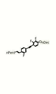 CCCCCC=Cc1ccc(C#Cc2ccc(OCCCCCCCCCC)c(F)c2F)cc1F